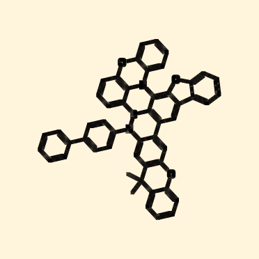 CC1(C)c2ccccc2Oc2cc3c(cc21)N(c1ccc(-c2ccccc2)cc1)B1c2cccc4c2N(c2ccccc2O4)c2c1c-3cc1c2oc2ccccc21